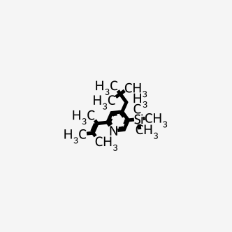 CC(C)=C(C)c1cc(CC(C)(C)C)c([Si](C)(C)C)cn1